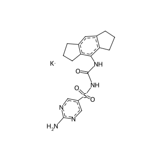 Nc1ncc(S(=O)(=O)NC(=O)Nc2c3c(cc4c2CCC4)CCC3)cn1.[K]